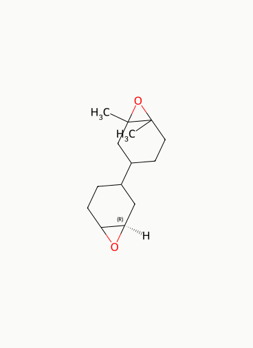 CC12CCC(C3CCC4O[C@@H]4C3)CC1(C)O2